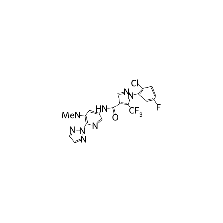 CNc1cc(NC(=O)c2cnn(-c3cc(F)ccc3Cl)c2C(F)(F)F)cnc1-n1nccn1